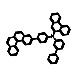 c1ccc(-c2cccc(N(c3ccc(-c4ccc5c(ccc6ccc7ccccc7c65)c4)cc3)c3cc4ccccc4c4ccccc34)c2)cc1